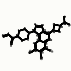 C=CC(=O)N1CCC(n2ncc3c(N4CC(N(C)C)C4)nc4c(F)c(Br)c(Cl)cc4c32)CC1